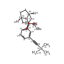 CC(C)(C)OC(=O)N1[C@@H]2CC[C@H]1C[C@](C#N)(c1cncc(C#C[Si](C)(C)C)c1)C2